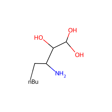 CCCCCC(N)C(O)C(O)O